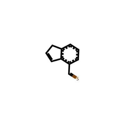 S=Cc1cccc2c1C=CC2